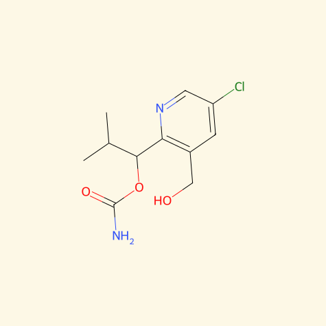 CC(C)C(OC(N)=O)c1ncc(Cl)cc1CO